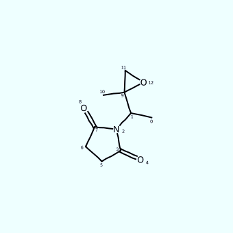 CC(N1C(=O)CCC1=O)C1(C)CO1